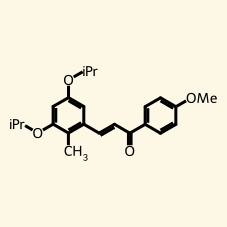 COc1ccc(C(=O)C=Cc2cc(OC(C)C)cc(OC(C)C)c2C)cc1